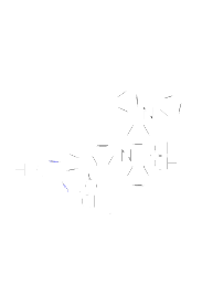 C=C/C=C\C1=C2C(=O)c3cc(N4c5ccccc5C(C)(C)c5cc6c(cc54)c4ccccc4n6-c4ccccc4)ccc3C2=C/C1=C/C